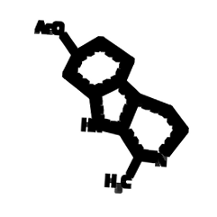 CC(=O)Oc1ccc2c(c1)[nH]c1c(C)nccc12